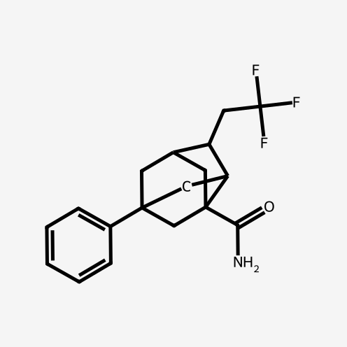 NC(=O)C12CC3CC(c4ccccc4)(CC1C3CC(F)(F)F)C2